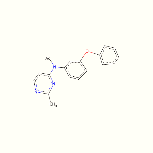 CC(=O)N(c1cccc(Oc2ccccc2)c1)c1ccnc(C)n1